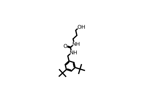 CC(C)(C)c1cc(CNC(=O)NCCCO)cc(C(C)(C)C)c1